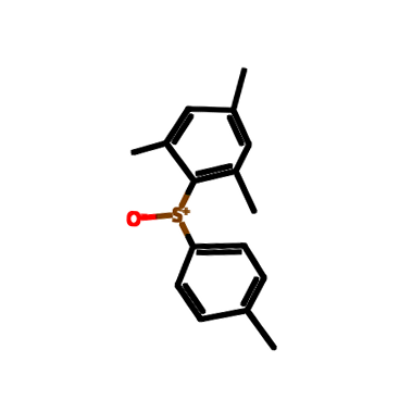 Cc1ccc([S+]([O-])c2c(C)cc(C)cc2C)cc1